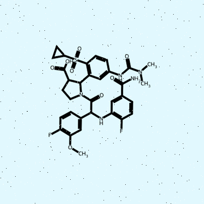 COc1cc(C(Nc2cc(C(N)=O)ccc2F)C(=O)N2CCC(C(=O)O)C2c2cc(NC(=O)N(C)C)ccc2S(=O)(=O)C2CC2)ccc1F